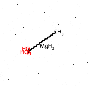 CCCCCCCCCCCCCCCCCCCCC(O)C(=O)O.[MgH2]